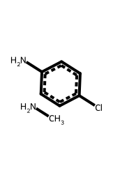 CN.Nc1ccc(Cl)cc1